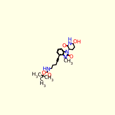 Cn1c(=O)n(C2CCC(O)NC2=O)c2cccc(C#CCCCNC(=O)OC(C)(C)C)c21